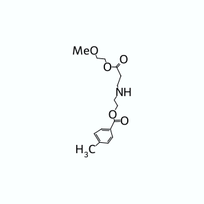 COCCOC(=O)CCNCCOC(=O)c1ccc(C)cc1